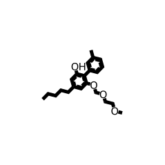 CCCCCc1cc(O)c(-c2cccc(C)c2)c(OCOCCOC)c1